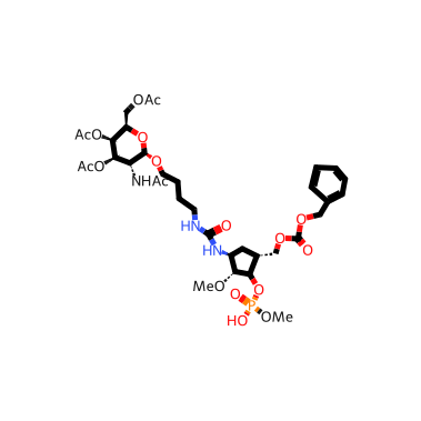 CO[C@H]1C(OP(=O)(O)OC)[C@@H](COC(=O)OCc2ccccc2)C[C@@H]1NC(=O)NCCCCO[C@@H]1O[C@H](COC(C)=O)[C@H](OC(C)=O)[C@H](OC(C)=O)[C@H]1NC(C)=O